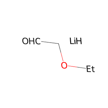 CCOCC=O.[LiH]